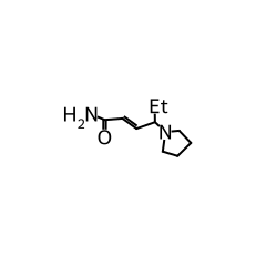 CCC(C=CC(N)=O)N1CCCC1